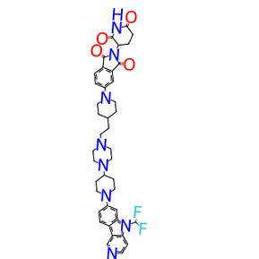 O=C1CCC(N2C(=O)c3ccc(N4CCC(CCN5CCN(C6CCN(c7ccc8c9cnccc9n(C(F)F)c8c7)CC6)CC5)CC4)cc3C2=O)C(=O)N1